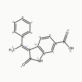 C/C(=C1\C(=O)Nc2cc(C(=O)O)ccc21)c1ccccc1